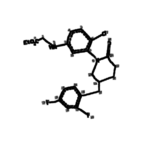 CCOC(=O)CNc1ccc(Cl)c(N2CC(Cc3ccc(F)cc3F)CCC2=O)c1